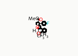 COC(=O)[C@H]1CC[C@@]2(C=C(c3ccccc3C(C)(C)OC(F)(F)F)CO2)[C@@H]1c1ccc(F)cc1